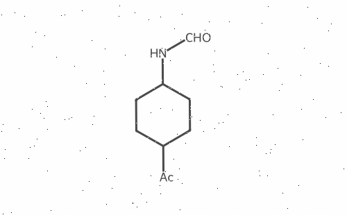 CC(=O)C1CCC(NC=O)CC1